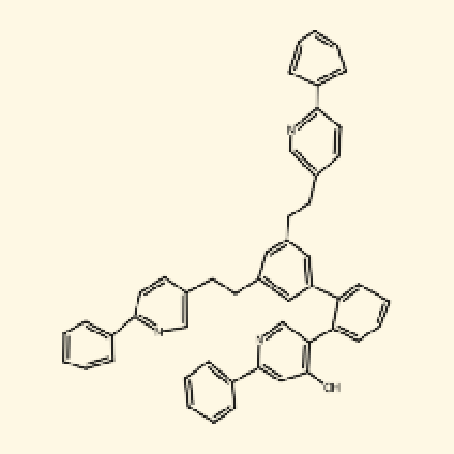 Oc1cc(-c2ccccc2)ncc1-c1ccccc1-c1cc(CCc2ccc(-c3ccccc3)nc2)cc(CCc2ccc(-c3ccccc3)nc2)c1